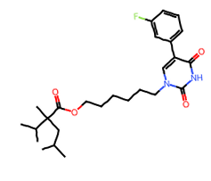 CC(C)CC(C)(C(=O)OCCCCCCn1cc(-c2cccc(F)c2)c(=O)[nH]c1=O)C(C)C